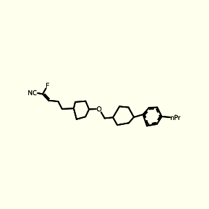 CCCc1ccc(C2CCC(COC3CCC(CCC=C(F)C#N)CC3)CC2)cc1